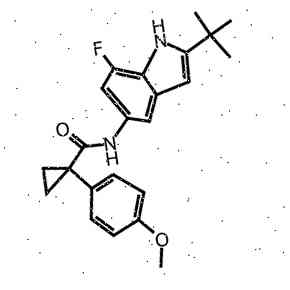 COc1ccc(C2(C(=O)Nc3cc(F)c4[nH]c(C(C)(C)C)cc4c3)CC2)cc1